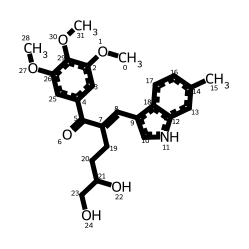 COc1cc(C(=O)/C(=C/c2c[nH]c3cc(C)ccc23)CCC(O)CO)cc(OC)c1OC